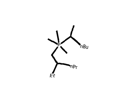 CCCCC(C)P(C)(C)(C)CC(CC)CCC